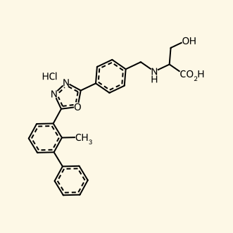 Cc1c(-c2ccccc2)cccc1-c1nnc(-c2ccc(CNC(CO)C(=O)O)cc2)o1.Cl